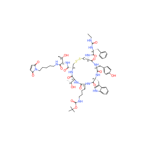 CCNC(=O)N[C@H](Cc1ccccc1)C(=O)N[C@H]1CSSC[C@@H](C(=O)N[C@H](C(=O)NCCCCCN2C(=O)C=CC2=O)[C@@H](C)O)NC(=O)[C@H]([C@@H](C)O)NC(=O)[C@H](CCCCNC(=O)OC(C)(C)C)NC(=O)[C@@H](Cc2c[nH]c3ccccc23)NC(=O)[C@H](Cc2ccc(O)cc2)NC1=O